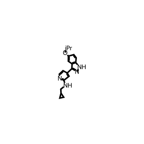 CC(C)Oc1ccc2[nH]nc(-c3ccnc(NCC4CC4)c3)c2c1